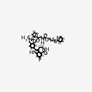 CN(Cc1ccc(-c2[nH]c3cc(F)cc4c3c2CCNC4=O)cc1)C(=O)[C@@H]1CCCN1C(=O)CNC(=O)OCCSSc1ccccn1